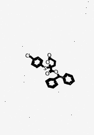 O=C1CCC(Sc2ccc(Cl)cc2)(C(=O)OC(c2ccccc2)c2ccccc2)O1